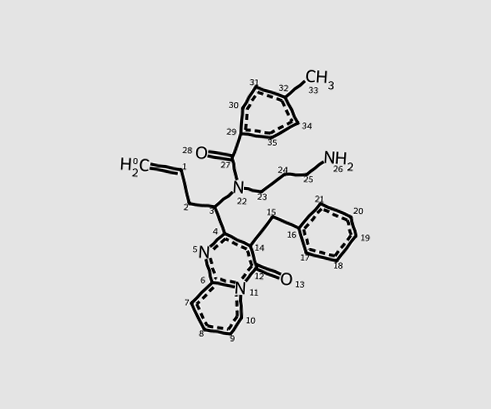 C=CCC(c1nc2ccccn2c(=O)c1Cc1ccccc1)N(CCCN)C(=O)c1ccc(C)cc1